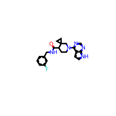 O=C(NCc1cccc(F)c1)C1CCN(c2ncnc3[nH]ccc23)CC12CC2